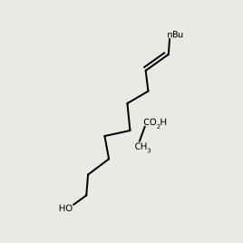 CC(=O)O.CCCCC=CCCCCCCCO